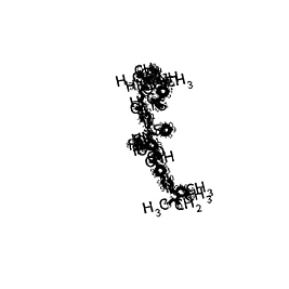 C=C(CCC)C1=C(CN2CCN(c3ccc(C(=O)NS(=O)(=O)c4ccc(N[C@H](CCN5CCN(C(=O)CCCCC(=O)N[C@H](C(=O)N6CCC[C@H]6C(=O)N[C@@H](C)c6ccc(-c7scnc7C)cc6)C(C)(C)C)CC5)CSc5ccccc5)c(S(=O)(=O)C(F)(F)F)c4)cc3)CC2)CCC(C)(C)C1